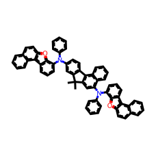 CC1(C)c2cc(N(c3ccccc3)c3cccc4c3oc3ccc5ccccc5c34)ccc2-c2c1cc(N(c1ccccc1)c1cccc3c1oc1ccc4ccccc4c13)c1ccccc21